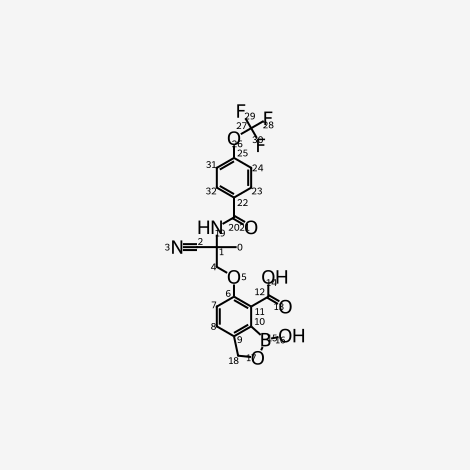 CC(C#N)(COc1ccc2c(c1C(=O)O)B(O)OC2)NC(=O)c1ccc(OC(F)(F)F)cc1